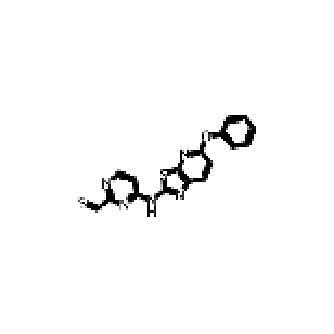 S=Cc1nccc(Nc2nc3ccc(Oc4ccccc4)nc3s2)n1